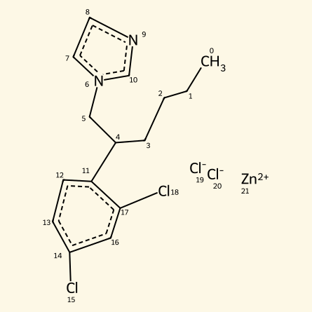 CCCCC(Cn1ccnc1)c1ccc(Cl)cc1Cl.[Cl-].[Cl-].[Zn+2]